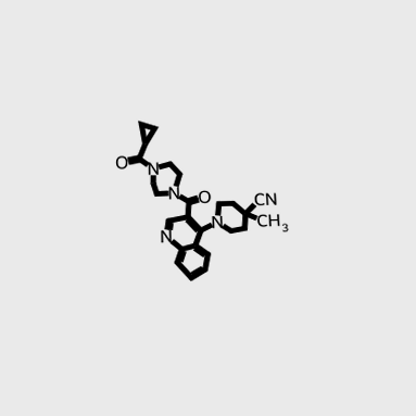 CC1(C#N)CCN(c2c(C(=O)N3CCN(C(=O)C4CC4)CC3)cnc3ccccc23)CC1